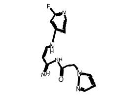 N=C(/C=C\Nc1ccnc(F)c1)NC(=O)Cn1cccn1